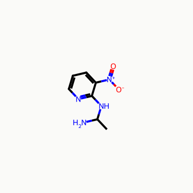 CC(N)Nc1ncccc1[N+](=O)[O-]